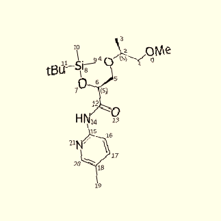 COC[C@H](C)OC[C@H](O[Si](C)(C)C(C)(C)C)C(=O)Nc1ccc(C)cn1